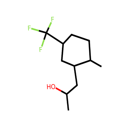 CC(O)CC1CC(C(F)(F)F)CCC1C